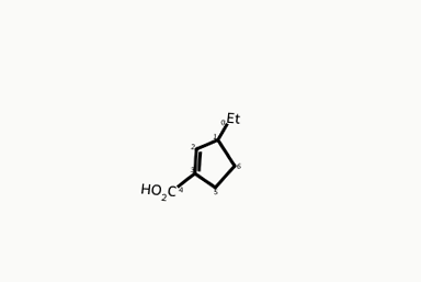 CCC1C=C(C(=O)O)CC1